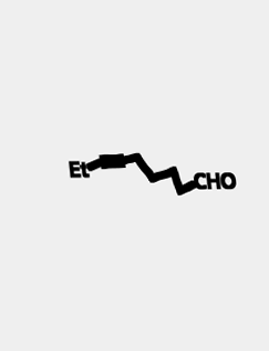 CCC#CCCCCC=O